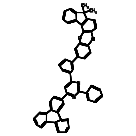 CC1(C)c2ccccc2-c2c1ccc1c2Oc2cc(-c3cccc(-c4cc(-c5ccc6c7ccccc7c7ccccc7c6c5)nc(-c5ccccc5)n4)c3)ccc2O1